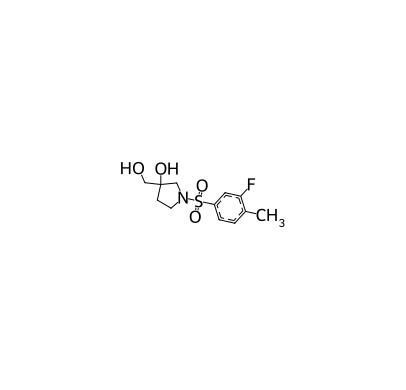 Cc1ccc(S(=O)(=O)N2CCC(O)(CO)C2)cc1F